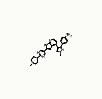 CN1CCN(c2ncc(-c3cc4c(-c5cn(C)nc5-c5ccc(N)cc5)ccnc4[nH]3)cn2)CC1